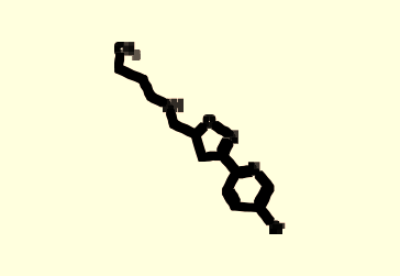 CCCCNCC1CC(c2ccc(Br)cn2)=NO1